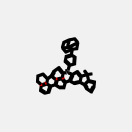 CC1(C)c2ccccc2-c2cc(-c3ccc(-c4ccccc4)cc3)c(N(c3ccc(C4CCCCC4)cc3)c3ccc(C45CC6CC(CC(C6)C4)C5)cc3)cc21